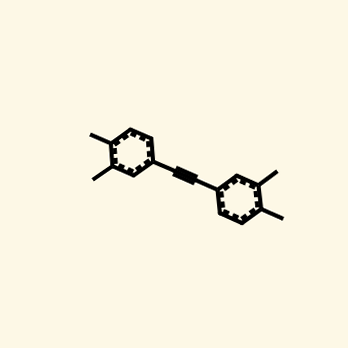 Cc1ccc(C#Cc2ccc(C)c(C)c2)cc1C